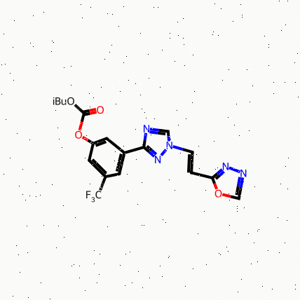 CC(C)COC(=O)Oc1cc(-c2ncn(C=Cc3nnco3)n2)cc(C(F)(F)F)c1